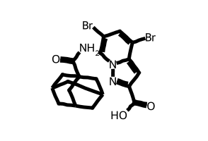 NC(=O)C12CC3CC(CC(C3)C1)C2.O=C(O)c1cc2c(Br)cc(Br)cn2n1